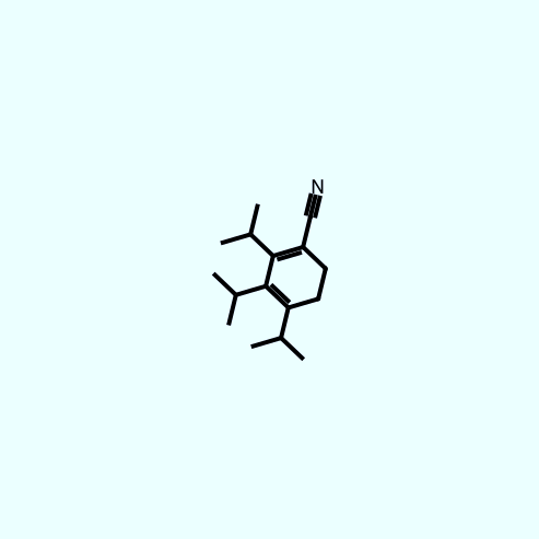 CC(C)C1=C(C(C)C)C(C(C)C)=C(C#N)CC1